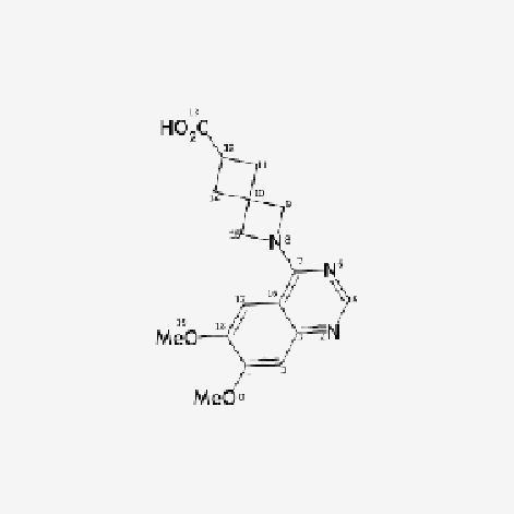 COc1cc2ncnc(N3CC4(CC(C(=O)O)C4)C3)c2cc1OC